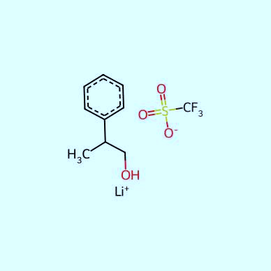 CC(CO)c1ccccc1.O=S(=O)([O-])C(F)(F)F.[Li+]